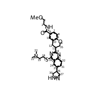 COCCNC(=O)c1ccc2c(c1)CC(c1nc(SCCN(C)C)c3cc(C4C=NNC4)ccc3n1)CO2